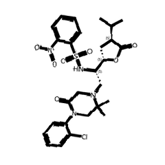 CC(C)[C@@H]1C[C@@H]([C@H](CN2CC(=O)N(c3ccccc3Cl)CC2(C)C)NS(=O)(=O)c2ccccc2[N+](=O)[O-])OC1=O